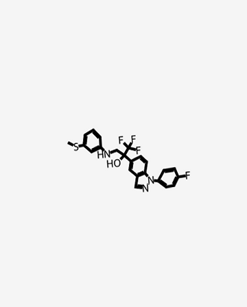 CSc1cccc(NCC(O)(c2ccc3c(cnn3-c3ccc(F)cc3)c2)C(F)(F)F)c1